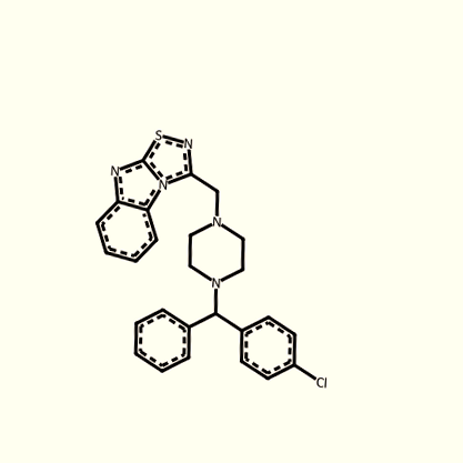 Clc1ccc(C(c2ccccc2)N2CCN(Cc3nsc4nc5ccccc5n34)CC2)cc1